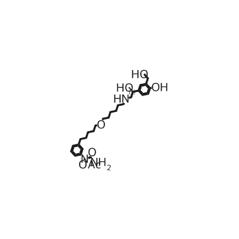 CC(=O)ON(C(N)=O)c1cccc(CCCCCOCCCCCCNC[C@@H](O)c2ccc(O)c(CO)c2)c1